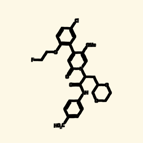 COc1cn(C(CC2COCCO2)C(=O)Nc2ccc(C(=O)O)cc2)c(=O)cc1-c1cc(Cl)ccc1OCCF